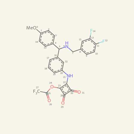 COc1ccc(C(NCc2ccc(F)c(F)c2)c2cccc(Nc3c(OC(=O)C(F)(F)F)c(=O)c3=O)c2)cc1